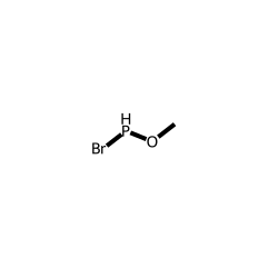 COPBr